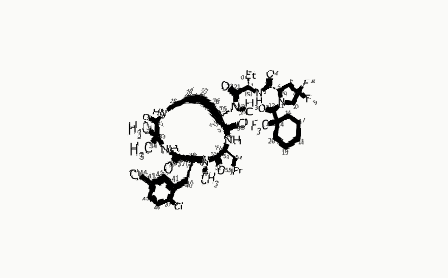 CC[C@H](NC(=O)[C@@H]1CC(F)(F)CN1C(=O)C1(C(F)(F)F)CCCCC1)C(=O)N(C)[C@H]1CCCCNC(=O)C(C)(C)NC(=O)[C@H](Cc2cc(Cl)ccc2Cl)N(C)C(=O)[C@H](CC(C)C)NC1=O